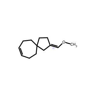 CO/C=C1\CCC2(CCC=CCC2)C1